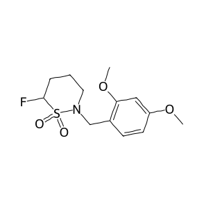 COc1ccc(CN2CCCC(F)S2(=O)=O)c(OC)c1